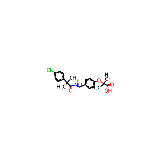 CC(C)(Oc1ccc(CNC(=O)C(C)(C)c2ccc(Cl)cc2)cc1)C(=O)O